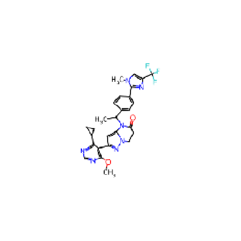 COc1ncnc(C2CC2)c1-c1cc2n(n1)CCC(=O)N2C(C)c1ccc(-c2nc(C(F)(F)F)cn2C)cc1